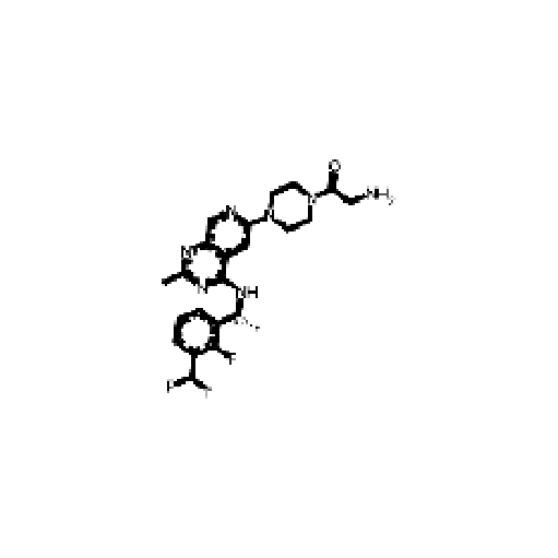 Cc1nc(N[C@H](C)c2cccc(C(F)F)c2F)c2cc(N3CCN(C(=O)CN)CC3)ncc2n1